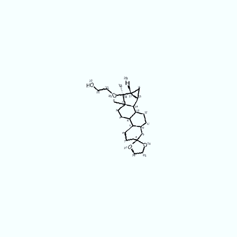 CC12CCC3C4CCC5(CC4CCC3C1C1C[C@H]1[C@]2(C)OCCO)OCCO5